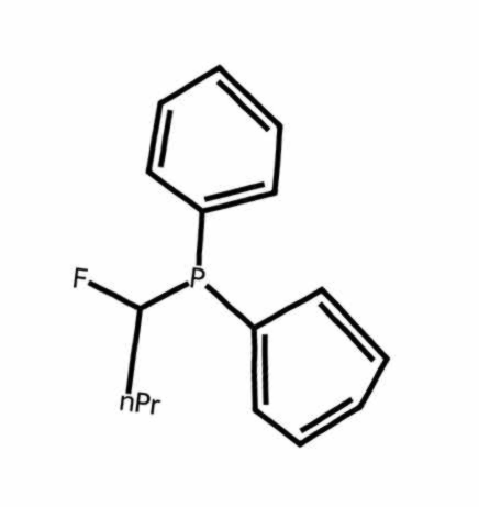 CCCC(F)P(c1ccccc1)c1ccccc1